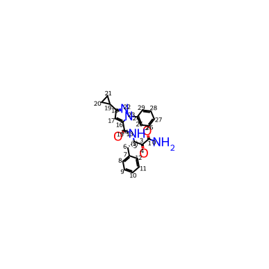 NC(=O)C(=O)[C@H](Cc1ccccc1)NC(=O)c1cc(C2CC2)nn1-c1ccccc1